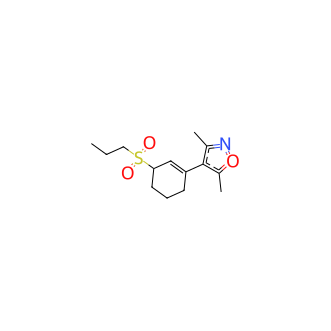 CCCS(=O)(=O)C1C=C(c2c(C)noc2C)CCC1